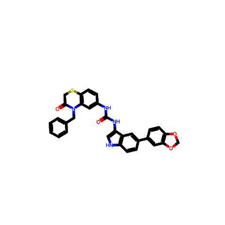 O=C(Nc1ccc2c(c1)N(Cc1ccccc1)C(=O)CS2)Nc1c[nH]c2ccc(-c3ccc4c(c3)OCO4)cc12